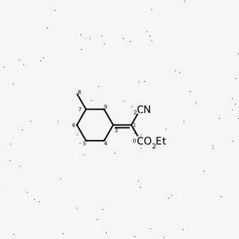 CCOC(=O)C(C#N)=C1CCCC(C)C1